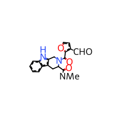 CNC(=O)C1Cc2c([nH]c3ccccc23)CN1C(=O)c1occc1C=O